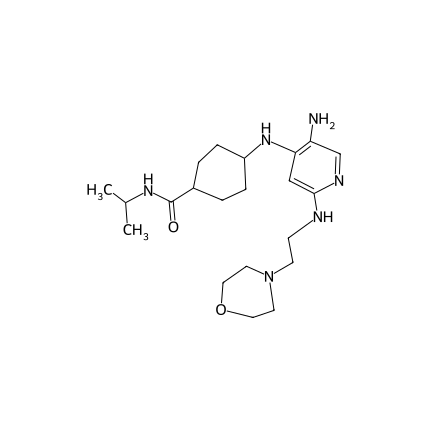 CC(C)NC(=O)C1CCC(Nc2cc(NCCN3CCOCC3)ncc2N)CC1